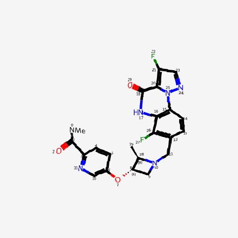 CNC(=O)c1ccc(O[C@H]2CN(Cc3ccc4c([nH]c(=O)c5c(F)cnn54)c3F)[C@@H]2C)cn1